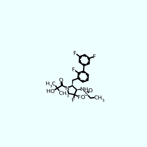 CCS(=O)(=O)N[C@@H]1[C@H](Cc2cccc(-c3cc(F)cc(F)c3)c2F)N(C(=O)C(C)(C)O)CC1(F)F